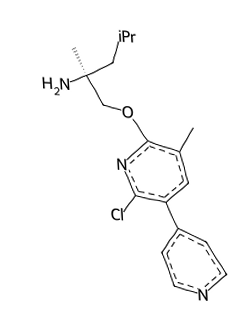 Cc1cc(-c2ccncc2)c(Cl)nc1OC[C@@](C)(N)CC(C)C